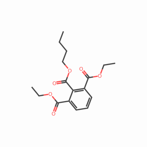 CCCCOC(=O)c1c(C(=O)OCC)cccc1C(=O)OCC